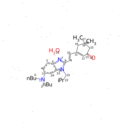 CCCCN(CCCC)c1ccc2nc(/C=C/C3=CC(=O)CC(C)(C)C3)n(CC(C)C)c2c1.O